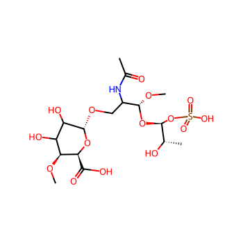 CO[C@H](O[C@@H](OS(=O)(=O)O)[C@H](C)O)C(CO[C@@H]1O[C@@H](C(=O)O)[C@@H](OC)C(O)C1O)NC(C)=O